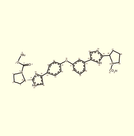 CC(C)(C)OC(=O)N1CCC[C@H]1c1nc(-c2ccc(Oc3cccc(-c4cnc(C5CCCN5C(=O)O)[nH]4)c3)cc2)c[nH]1